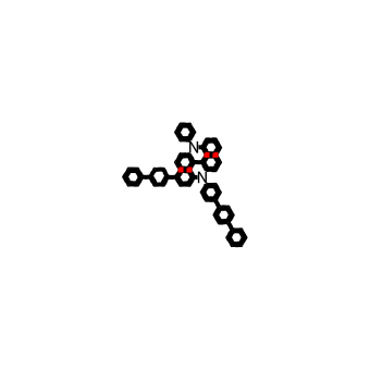 C1=C(c2ccccc2)CCC(c2ccc(N(c3ccc(-c4ccc(-c5ccccc5)cc4)cc3)c3ccccc3-c3ccccc3N(c3ccccc3)c3ccccc3)cc2)=C1